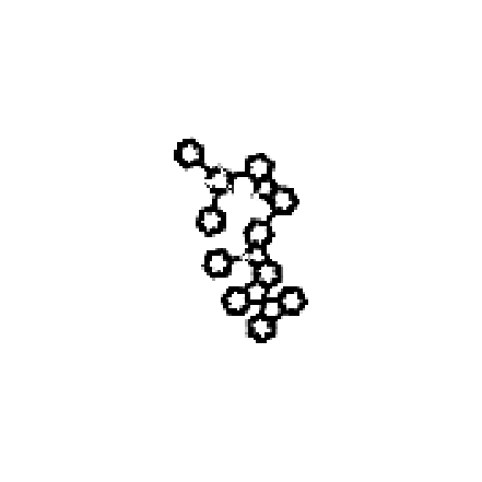 c1ccc(-c2nc(-c3ccccc3)nc(-c3cccc4c3oc3c(-c5ccc6c(c5)c5ccc7c(c5n6-c5ccccc5)-c5ccccc5C75c6ccccc6-c6ccccc65)cccc34)n2)cc1